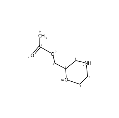 CC(=O)OCC1CNCCO1